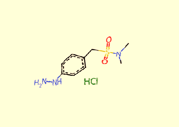 CN(C)S(=O)(=O)Cc1ccc(NN)cc1.Cl